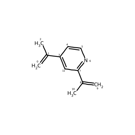 C=C(C)c1ccnc(C(=C)C)c1